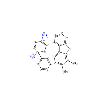 CCCCc1ccc2c(c1CCCC)Cc1ccccc1-2.NC1=CCC(N)(c2ccccc2)C=C1